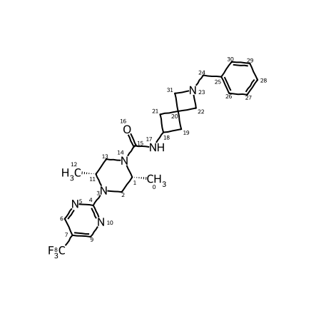 C[C@@H]1CN(c2ncc(C(F)(F)F)cn2)[C@H](C)CN1C(=O)NC1CC2(C1)CN(Cc1ccccc1)C2